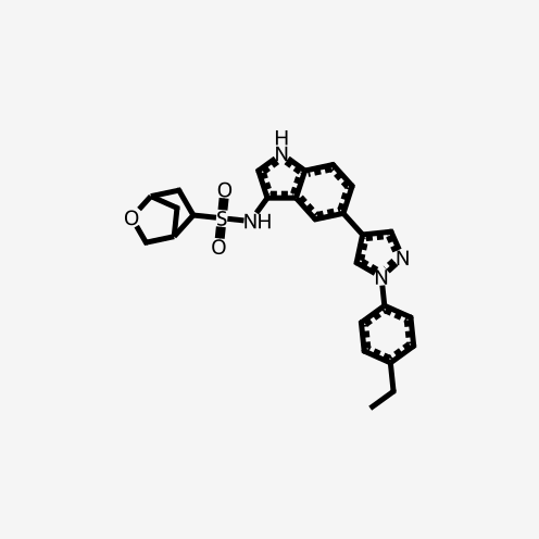 CCc1ccc(-n2cc(-c3ccc4[nH]cc(NS(=O)(=O)C5CC6CC5CO6)c4c3)cn2)cc1